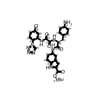 CC(C)(C)OC(=O)c1cc2cc(NC(=O)[C@H](Cc3ccc(N)cc3)NC(=O)C(=O)Nc3cc(Cl)ccc3-n3cnnn3)ccc2[nH]1